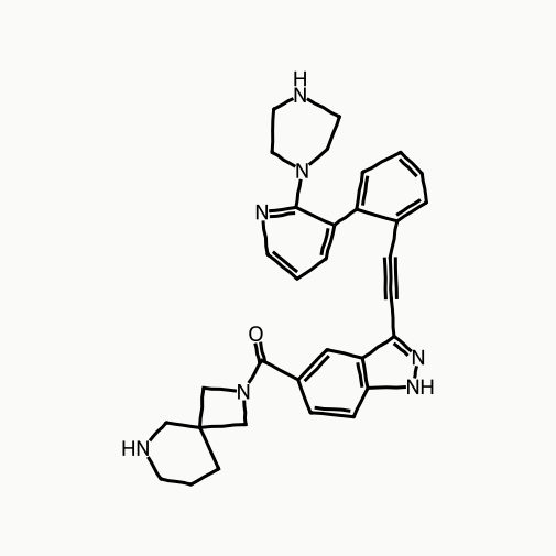 O=C(c1ccc2[nH]nc(C#Cc3ccccc3-c3cccnc3N3CCNCC3)c2c1)N1CC2(CCCNC2)C1